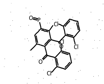 Cc1cc(P=O)c(C)c(C(=O)c2c(Cl)cccc2Cl)c1C(=O)c1c(Cl)cccc1Cl